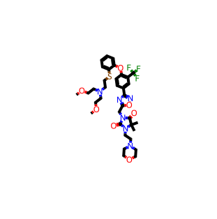 COCCN(CCOC)CCSc1ccccc1Oc1ccc(-c2noc(CN3C(=O)N(CCN4CCOCC4)C(C)(C)C3=O)n2)cc1C(F)(F)F